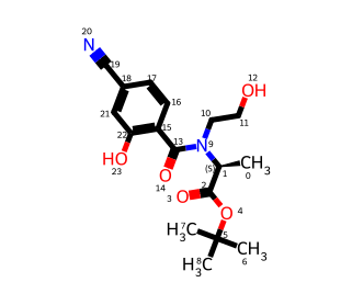 C[C@@H](C(=O)OC(C)(C)C)N(CCO)C(=O)c1ccc(C#N)cc1O